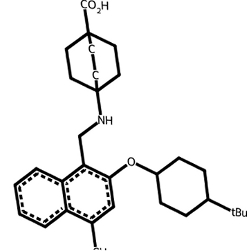 Cc1cc(OC2CCC(C(C)(C)C)CC2)c(CNC23CCC(C(=O)O)(CC2)CC3)c2ccccc12